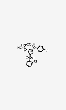 N#CC1(NC(=O)O)CC1.O=S(=O)(c1ccccc1Cl)[C@H]1CC[C@H](Oc2ccc(Cl)cc2)C1